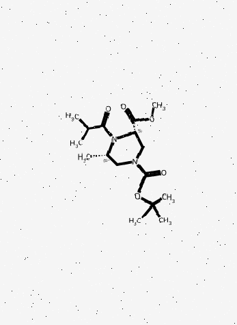 COC(=O)[C@@H]1CN(C(=O)OC(C)(C)C)C[C@H](C)N1C(=O)C(C)C